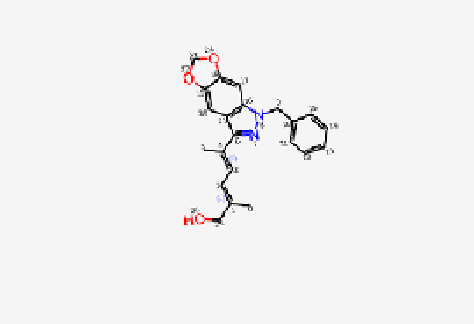 C/C(=C\C=C(/C)c1nn(Cc2ccccc2)c2cc3c(cc12)OCO3)CO